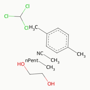 CC#N.CCCCCC.Cc1ccc(C)cc1.ClC(Cl)Cl.OCCO